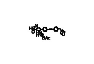 CC(=O)OC1CN(CC(Cc2nc[nH]c(=O)c2O)c2ccc(C#Cc3ccc(CN4CCOCC4)cc3)cc2)C1